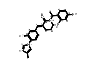 Cc1cn(-c2ccc(C=C3CCCN(C(C)c4ccc(F)cc4F)C3=O)cc2F)cn1